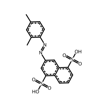 Cc1ccc(N=Nc2cc(S(=O)(=O)O)c3cccc(S(=O)(=O)O)c3c2)c(C)c1